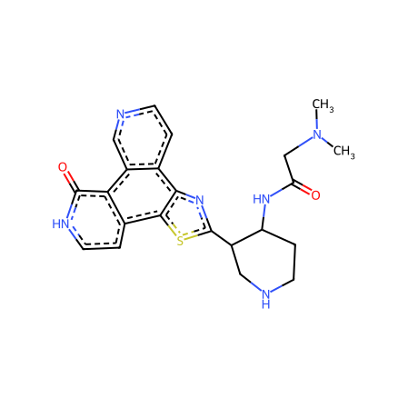 CN(C)CC(=O)NC1CCNCC1c1nc2c3ccncc3c3c(=O)[nH]ccc3c2s1